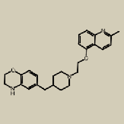 Cc1ccc2c(OCCN3CCC(Cc4ccc5c(c4)NCCO5)CC3)cccc2n1